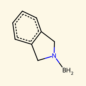 BN1Cc2ccccc2C1